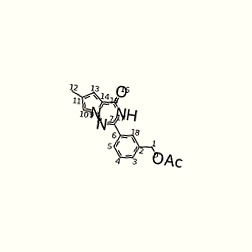 CC(=O)OCc1cccc(-c2nn3cc(C)cc3c(=O)[nH]2)c1